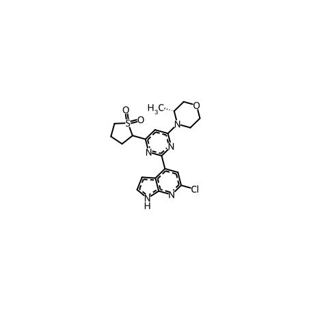 C[C@@H]1COCCN1c1cc(C2CCCS2(=O)=O)nc(-c2cc(Cl)nc3[nH]ccc23)n1